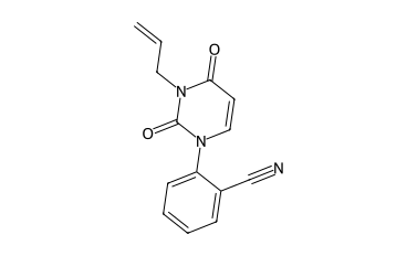 C=CCn1c(=O)ccn(-c2ccccc2C#N)c1=O